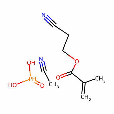 C=C(C)C(=O)OCCC#N.CC#N.O=[PH](O)O